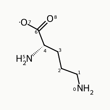 NCCC[C@H](N)C([O])=O